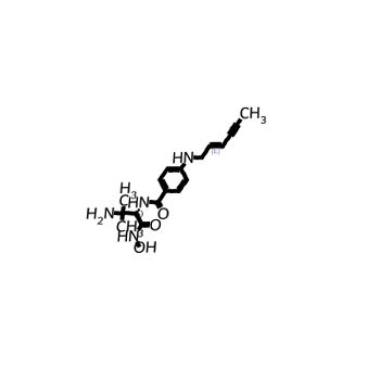 CC#C/C=C/CNc1ccc(C(=O)N[C@H](C(=O)NO)C(C)(C)N)cc1